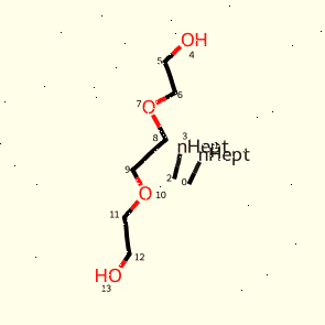 CCCCCCCC.CCCCCCCC.OCCOCCOCCO